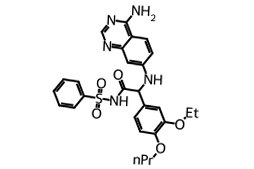 CCCOc1ccc(C(Nc2ccc3c(N)ncnc3c2)C(=O)NS(=O)(=O)c2ccccc2)cc1OCC